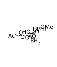 B[C@@H]1O[C@H](COPPOC)C(O)[C@@H]1OCOC(=O)CCC(C)=O